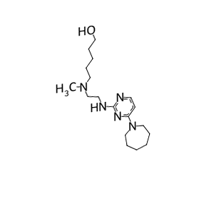 CN(CCCCCO)CCNc1nccc(N2CCCCCC2)n1